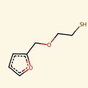 SCCOCc1ccco1